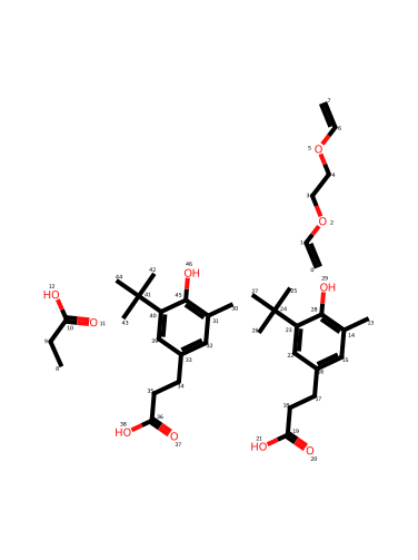 C=COCCOC=C.CCC(=O)O.Cc1cc(CCC(=O)O)cc(C(C)(C)C)c1O.Cc1cc(CCC(=O)O)cc(C(C)(C)C)c1O